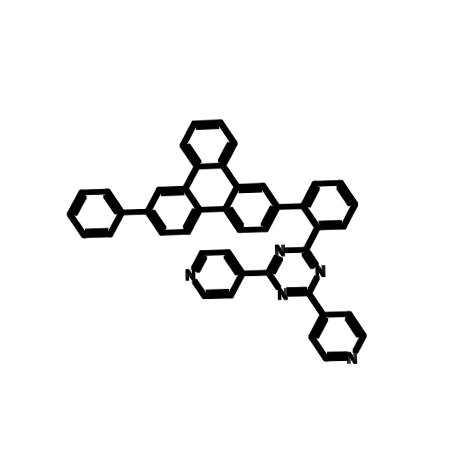 c1ccc(-c2ccc3c4ccc(-c5ccccc5-c5nc(-c6ccncc6)nc(-c6ccncc6)n5)cc4c4ccccc4c3c2)cc1